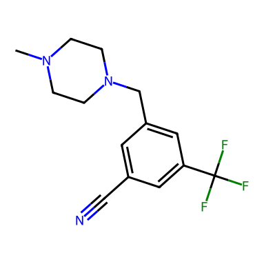 CN1CCN(Cc2cc(C#N)cc(C(F)(F)F)c2)CC1